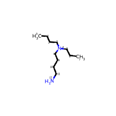 CCCCN(CCC)CCCCN